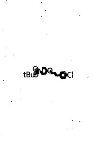 CC(C)(C)OC(=O)N1CCC(OCC=Cc2ccc(Cl)cc2)CC1